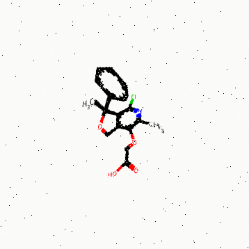 Cc1nc(Cl)c2c(c1OCC(=O)O)COC2(C)c1ccccc1